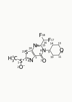 C[S+]([O-])c1nc2c(=O)n(C3CCOCC3)c(C(F)F)nc2s1